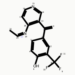 C=C(c1ccc(O)c(C(F)(F)F)c1)c1cnccc1/N=C\C